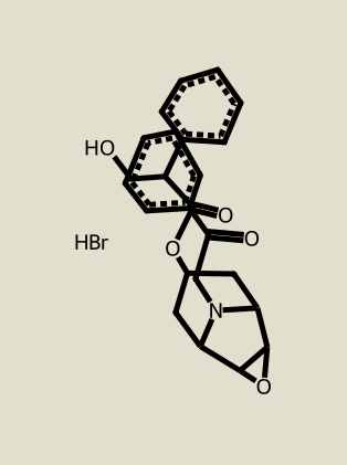 Br.O=C(CN1C2CC(OC(=O)C(CO)c3ccccc3)CC1C1OC12)c1ccccc1